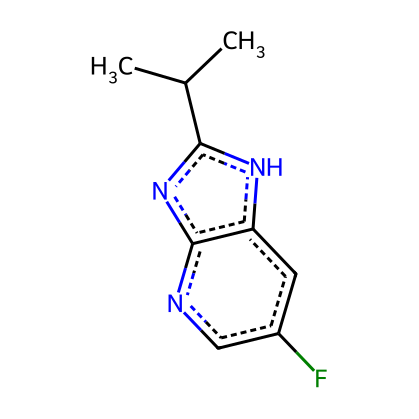 CC(C)c1nc2ncc(F)cc2[nH]1